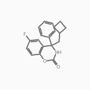 O=C1NC(CC2CCC2)(c2ccccc2)c2cc(F)ccc2O1